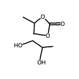 CC(O)CO.CC1COC(=O)O1